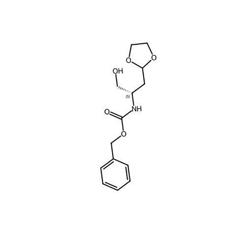 O=C(N[C@H](CO)CC1OCCO1)OCc1ccccc1